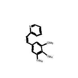 COc1cc(/C=C\c2ccccn2)cc(OC)c1OC